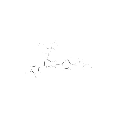 CCOc1ncc(-c2cc(N(C)CC3(COC)CCCC3)c3[nH]c(-c4cnc(N5CCN(CC(=O)O)C[C@H]5C)cn4)nc3n2)cc1C(F)(F)F